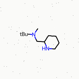 CN(CC1CCCCN1)C(C)(C)C